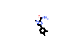 Cc1ccc(-c2cn(C)c(C(N)=O)n2)cc1C